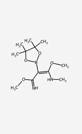 CN/C(OC)=C(/B1OC(C)(C)C(C)(C)O1)C(=N)OC